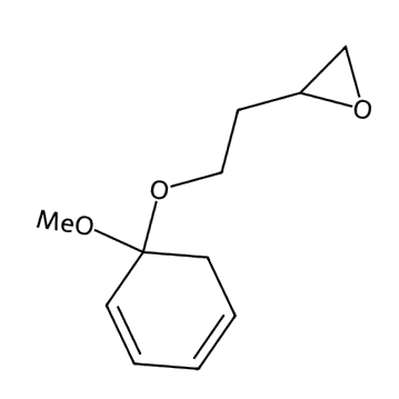 COC1(OCCC2CO2)C=CC=CC1